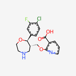 O=C(O)c1cccnc1OC[C@@H]1CNCCO[C@H]1c1ccc(Cl)c(F)c1